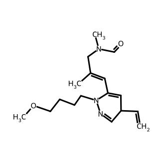 C=CC1C=NN(CCCCOC)C(/C=C(\C)CN(C)C=O)=C1